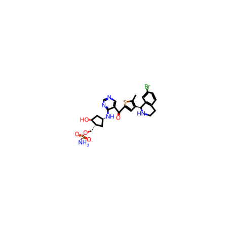 Cc1sc(C(=O)c2cncnc2N[C@@H]2C[C@H](COS(N)(=O)=O)[C@@H](O)C2)cc1[C@@H]1NCCc2ccc(Br)cc21